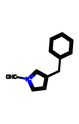 O=Cn1ccc(Cc2ccccc2)c1